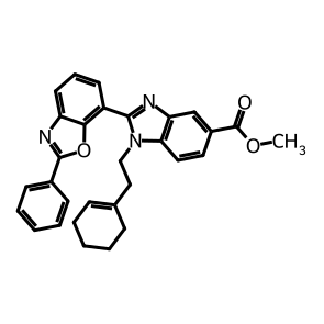 COC(=O)c1ccc2c(c1)nc(-c1cccc3nc(-c4ccccc4)oc13)n2CCC1=CCCCC1